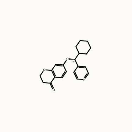 O=C1CCOc2cc(O[C@H](c3ccncc3)C3CCCCC3)ccc21